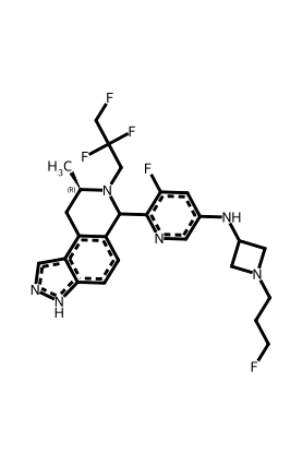 C[C@@H]1Cc2c(ccc3[nH]ncc23)C(c2ncc(NC3CN(CCCF)C3)cc2F)N1CC(F)(F)CF